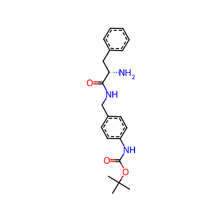 CC(C)(C)OC(=O)Nc1ccc(CNC(=O)[C@@H](N)Cc2ccccc2)cc1